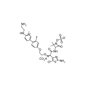 C[n+]1cc(-c2ccc(OC[C@H](O/N=C(\C(=O)NC3C(=O)N(OS(=O)(=O)[O-])C3(C)C)c3nc(N)sc3Cl)C(=O)O)cc2F)ccc1NCCN